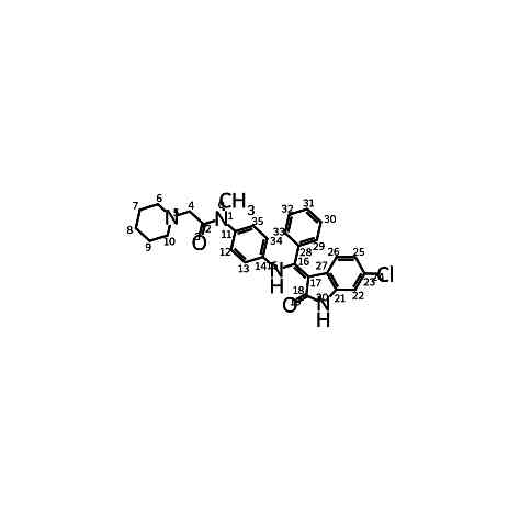 CN(C(=O)CN1CCCCC1)c1ccc(N/C(=C2\C(=O)Nc3cc(Cl)ccc32)c2ccccc2)cc1